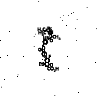 CCN1C=C(C(=O)O)C(=O)C2C=C(F)C(N3CCN(C(=O)OCc4ccc(NC(=O)[C@H](C)n5cc(C(C)(C)C(C)C)nn5)cc4)CC3)=CC21